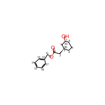 O=C(C[C@@H]1CCC[C@H](O)C1)OCc1ccccc1